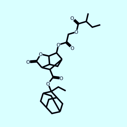 CCC(C)C(=O)OCC(=O)OC1C2CC3C1OC(=O)C3C2C(=O)OC1(CC)C2CC3CC(C2)CC1C3